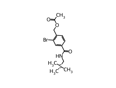 CC(=O)OCc1ccc(C(=O)NCS(C)(C)C)cc1Br